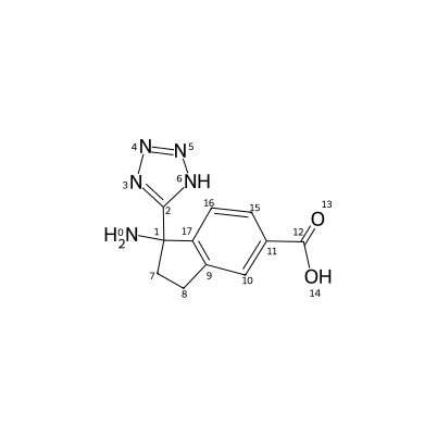 NC1(c2nnn[nH]2)CCc2cc(C(=O)O)ccc21